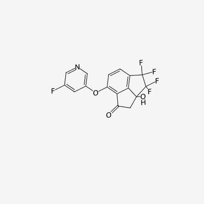 O=C1CC2(O)c3c(ccc(Oc4cncc(F)c4)c31)C(F)(F)C2(F)F